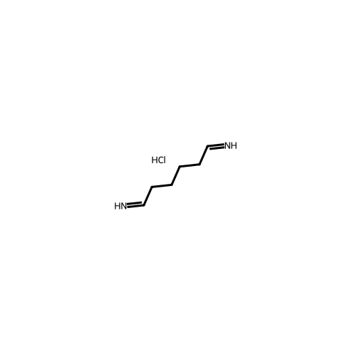 Cl.N=CCCCCC=N